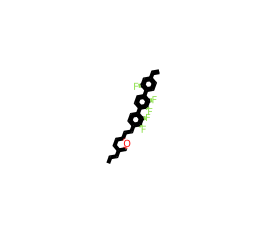 C=Cc1ccc(-c2ccc(-c3ccc(CCC4CCC(CCC)CO4)c(F)c3F)c(F)c2F)c(F)c1